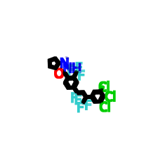 CN(NC(=O)c1ccc(/C(F)=C/C(c2cc(Cl)c(Cl)c(Cl)c2)C(F)(F)F)cc1C(F)(F)F)C1CCCC1